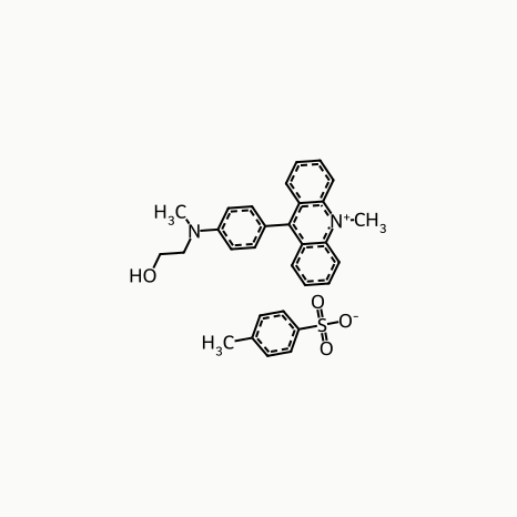 CN(CCO)c1ccc(-c2c3ccccc3[n+](C)c3ccccc23)cc1.Cc1ccc(S(=O)(=O)[O-])cc1